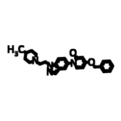 CC1CCN(CCn2ncc3cc(-n4ccc(OCc5ccccc5)cc4=O)ccc32)CC1